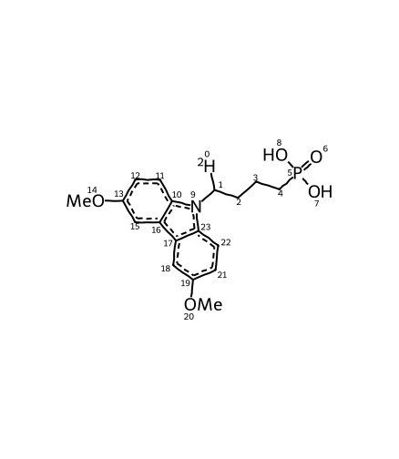 [2H]C(CCCP(=O)(O)O)n1c2ccc(OC)cc2c2cc(OC)ccc21